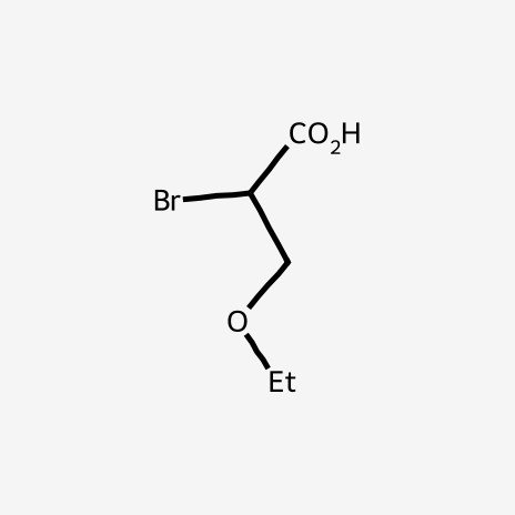 CCOCC(Br)C(=O)O